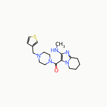 CNc1nc2n(c1C(=O)N1CCN(Cc3ccsc3)CC1)CCCC2